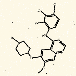 COc1cc2ncnc(Nc3ccc(Cl)c(Cl)c3F)c2cc1OC1CCN(C)CC1